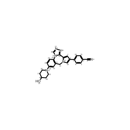 N#Cc1ccc(-c2cc3n(c2)Cc2cc(N4CCC(O)CC4)ccc2-n2cnnc2-3)cc1